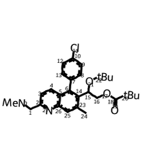 CNCc1ccc2c(-c3ccc(Cl)cc3)c(C(COC(=O)C(C)(C)C)OC(C)(C)C)c(C)cc2n1